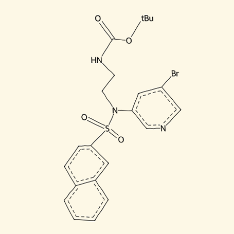 CC(C)(C)OC(=O)NCCN(c1cncc(Br)c1)S(=O)(=O)c1ccc2ccccc2c1